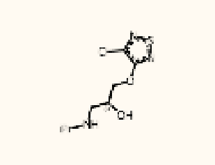 CC(C)NC[C@H](O)COc1nsnc1Cl